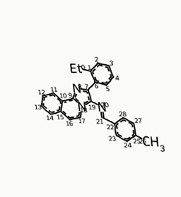 CCc1ccccc1-c1nc2c3ccccc3ccn2c1/N=C/c1ccc(C)cc1